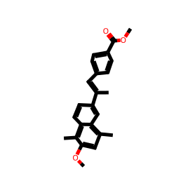 COC(=O)c1ccc(C=C(C)c2ccc3c(C)c(OC)cc(C)c3c2)cc1